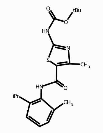 Cc1cccc(C(C)C)c1NC(=O)c1sc(NC(=O)OC(C)(C)C)nc1C